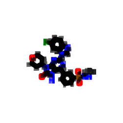 CC(C)(C)NS(=O)(=O)c1cccc(-c2nc(-n3cnc4ccc(F)cc43)nc3c2[nH]c(=O)n3C2CCOCC2)c1